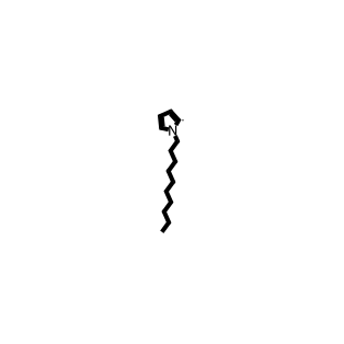 CCCCCCCCCCn1[c]ccc1